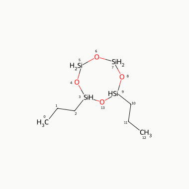 CCC[SiH]1O[SiH2]O[SiH2]O[SiH](CCC)O1